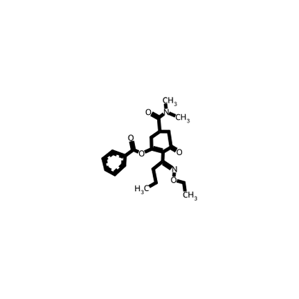 CCCC(=NOCC)C1=C(OC(=O)c2ccccc2)CC(C(=O)N(C)C)CC1=O